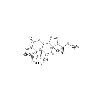 C/C=C\C1(C)/C(=C\C=O)[C@@H](F)CC2C3CCC(C(=O)COC)C3(C)CC(O)[C@@]21F